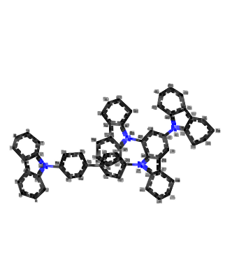 c1ccc2c(c1)c1ccccc1n2-c1ccc(-c2ccc(-n3c4ccccc4c4cc(-n5c6ccccc6c6ccccc65)cc(-n5c6ccccc6c6ccccc65)c43)cc2)cc1